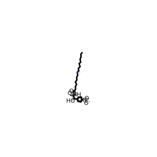 CCCCCCCC/C=C/CCCCCCCC(=O)N[C@H](CO)[C@@H](O)c1ccc([N+](=O)[O-])cc1